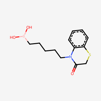 O=C1CSc2ccccc2N1CCCCCB(O)O